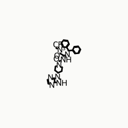 O=C(N[C@@H]1N=C(c2ccccc2)c2ccccc2N(CC(F)(F)F)C1=O)N1CCC(N2CNc3nccnc32)CC1